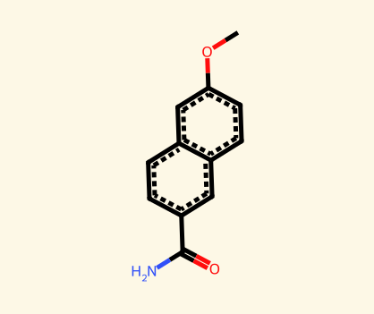 COc1ccc2cc(C(N)=O)ccc2c1